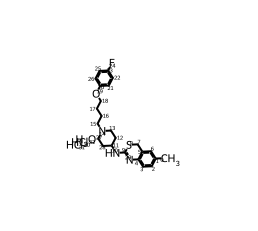 Cc1ccc2c(c1)CSC(NC1CCN(CCCCOc3ccc(F)cc3)CC1)=N2.Cl.Cl.O